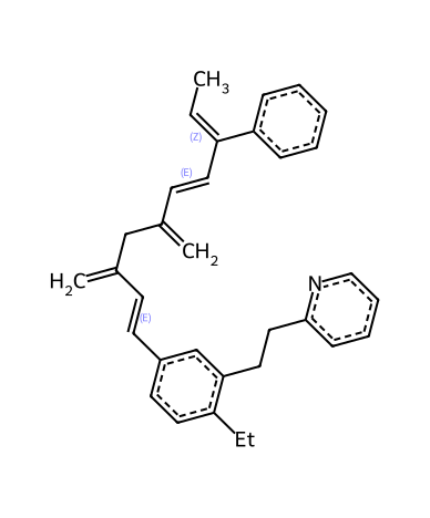 C=C(/C=C/C(=C/C)c1ccccc1)CC(=C)/C=C/c1ccc(CC)c(CCc2ccccn2)c1